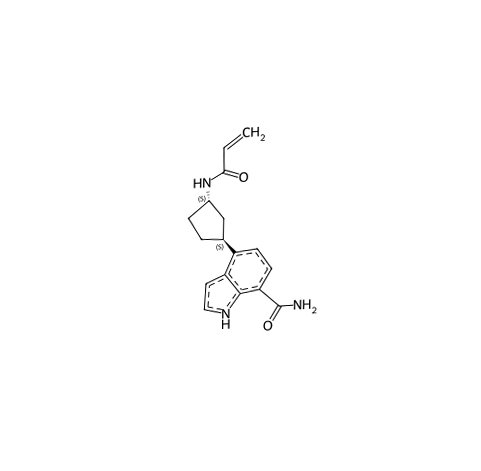 C=CC(=O)N[C@H]1CC[C@H](c2ccc(C(N)=O)c3[nH]ccc23)C1